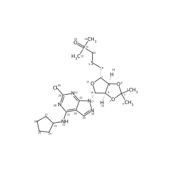 CC1(C)O[C@@H]2[C@H](O1)[C@@H](CSCP(C)(C)=O)O[C@H]2n1ncc2c(NC3CCCC3)nc(Cl)nc21